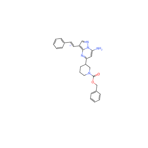 Nc1cc(C2CCCN(C(=O)OCc3ccccc3)C2)nc2c(/C=C/c3ccccc3)cnn12